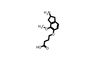 COc1c(OCCCC(=O)O)ccc2c1CC(N)C2